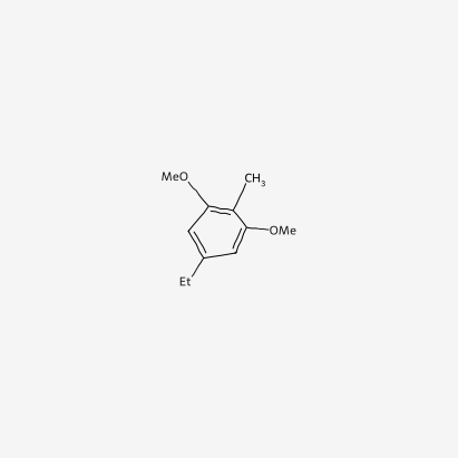 CCc1cc(OC)c(C)c(OC)c1